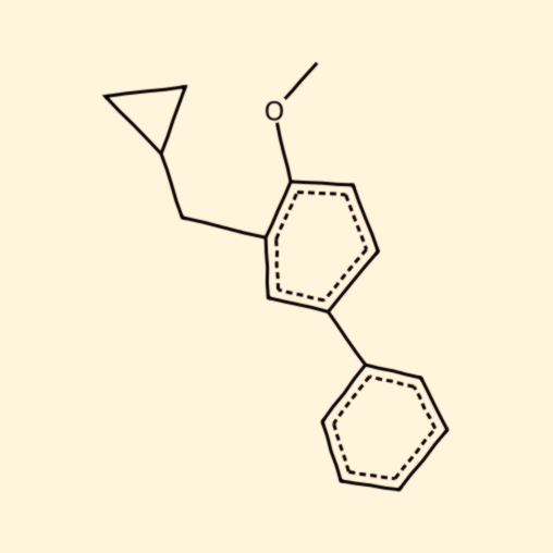 COc1ccc(-c2ccccc2)cc1CC1CC1